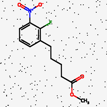 COC(=O)CCCCc1cccc([N+](=O)[O-])c1F